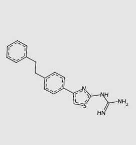 N=C(N)Nc1nc(-c2ccc(CCc3ccccc3)cc2)cs1